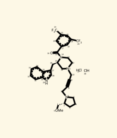 COC[C@H]1CCCN1CC#CCN1CCN(C(=O)c2cc(C(F)(F)F)cc(C(F)(F)F)c2)[C@H](Cc2c[nH]c3ccccc23)C1.Cl.Cl